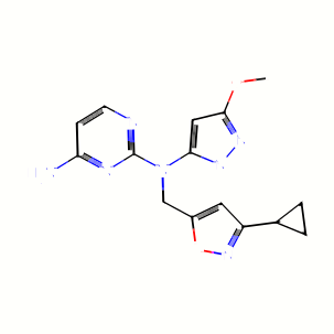 CC(C)Oc1cc(N(Cc2cc(C3CC3)no2)c2nccc(N)n2)[nH]n1